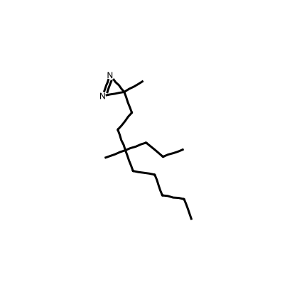 CCCCCC(C)(CCC)CCC1(C)N=N1